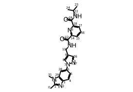 Cc1nc2ccc(-n3cc(CNC(=O)c4cccc(C(=O)NC(C)C)n4)cn3)cc2n1C